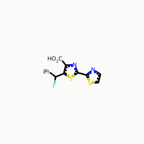 CC(C)C(F)c1sc(-c2nccs2)nc1C(=O)O